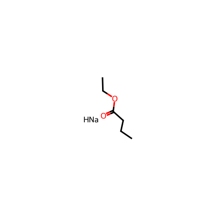 CCCC(=O)OCC.[NaH]